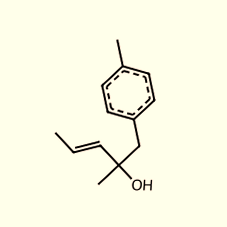 C/C=C/C(C)(O)Cc1ccc(C)cc1